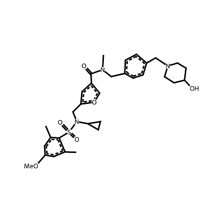 COc1cc(C)c(S(=O)(=O)N(Cc2cc(C(=O)N(C)Cc3ccc(CN4CCC(O)CC4)cc3)co2)C2CC2)c(C)c1